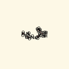 COc1cccc2c1C(=O)c1c(O)c3c(c(O)c1C2=O)C[C@@](O)(C(=O)N1CCN(C(=O)OCc2ccc(NC(=O)[C@H](CCCNC(N)=O)CNC(=O)[C@@H](NC(=O)CCCCCN4C(=O)C=CC4=O)C(C)C)cc2)CC1)C[C@@H]3O[C@H]1C[C@H]2[C@H](O[C@@H]3[C@@H](OC)OCCN32)[C@H](C)O1